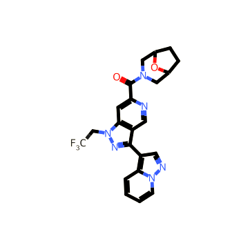 O=C(c1cc2c(cn1)c(-c1cnn3ccccc13)nn2CC(F)(F)F)N1CC2CCC(C1)O2